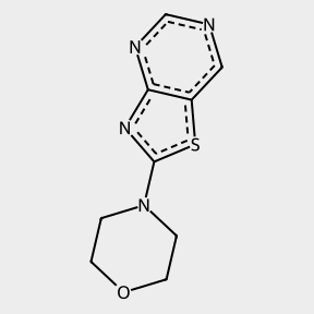 c1ncc2sc(N3CCOCC3)nc2n1